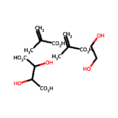 C=C(C)C(=O)O.C=C(C)C(=O)O.O=C(O)C(O)C(O)C(=O)O.OCCO